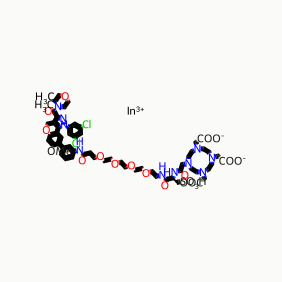 COc1cc2c(cc1-c1cccc(NC(=O)CCOCCOCCOCCOCCNC(=O)[C@H](CS(=O)(=O)O)NC(=O)CN3CCN(CC(=O)[O-])CCN(CC(=O)[O-])CCN(CC(=O)[O-])CC3)c1)-c1c(c(C(=O)N3CCOCC3(C)C)nn1-c1cc(Cl)cc(Cl)c1)CO2.[In+3]